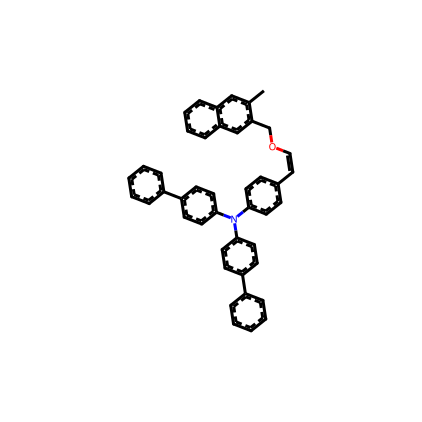 Cc1cc2ccccc2cc1CO/C=C\c1ccc(N(c2ccc(-c3ccccc3)cc2)c2ccc(-c3ccccc3)cc2)cc1